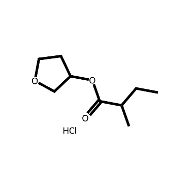 CCC(C)C(=O)OC1CCOC1.Cl